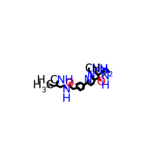 CCC(CCNC(=O)Cc1ccc(-c2ccc3c(=O)c(-c4ncc[nH]4)c(N)n(CC)c3n2)cc1)C(C)=N